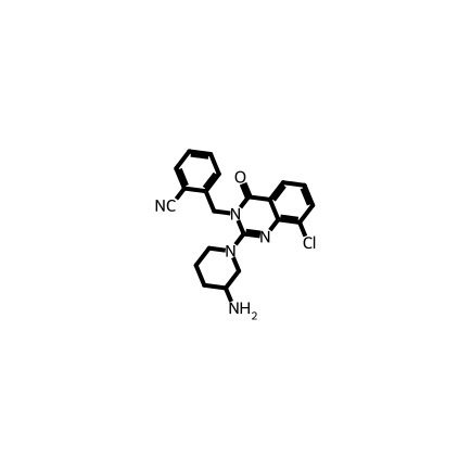 N#Cc1ccccc1Cn1c(N2CCCC(N)C2)nc2c(Cl)cccc2c1=O